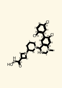 CN1CNC(N2CCCC(N3CC(C(=O)NO)C3)C2)c2cc(-c3cc(Cl)ccc3Cl)c(Cl)cc21